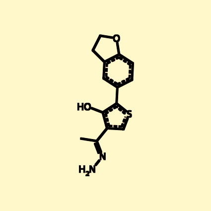 CC(=NN)c1csc(-c2ccc3c(c2)CCO3)c1O